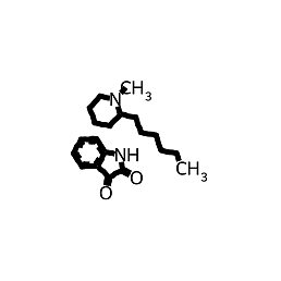 CCCCCCC1CCCCN1C.O=C1Nc2ccccc2C1=O